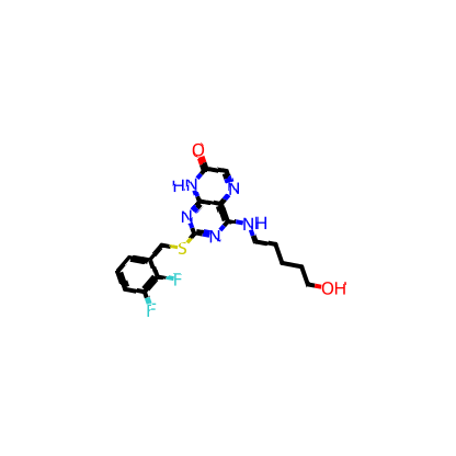 O=c1cnc2c(NCCCCCO)nc(SCc3cccc(F)c3F)nc2[nH]1